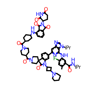 Cc1cc(F)c(Nc2nc(-c3ccc4c(c3)N(C3CC(N5CCCCC5)C3)C(=O)C43CCN(C(=O)C4CCN(C(=O)C5CCC(Nc6cccc7c6C(=O)N(C6CCC(=O)NC6=O)C7=O)CC5)CC4)CC3)cc3ncn(C(C)C)c23)cc1C(=O)NC(C)C